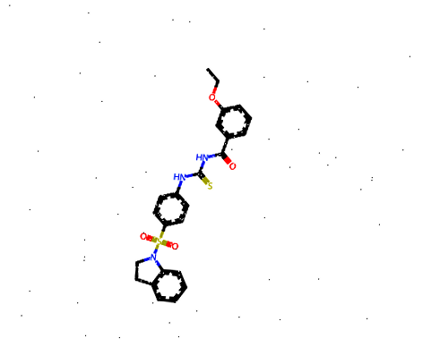 CCOc1cccc(C(=O)NC(=S)Nc2ccc(S(=O)(=O)N3CCc4ccccc43)cc2)c1